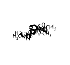 CN1C(=O)N(c2nc3c(s2)CCOc2cc(-c4cnn(CC(C)(C)O)c4)ccc2-3)C(C)(C)C1=O